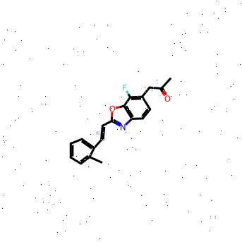 CC(=O)Cc1ccc2nc(/C=C/c3ccccc3C)oc2c1F